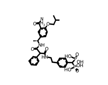 CC(C)COc1ccc([C@H](C)NC(=O)C(C(=O)NCCc2ccc(C(P(=O)(O)O)P(=O)(O)O)cc2)c2ccccc2)cc1C(N)=O